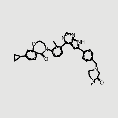 Cc1c(-c2ncnc3[nH]c(-c4ccc(CN5CCN(C)C(=O)C5)cc4)cc23)cccc1N1CCOc2cc(C3CC3)ccc2C1=O